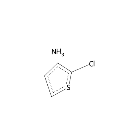 Clc1cccs1.N